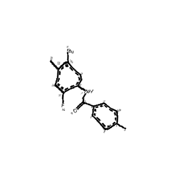 Cc1ccc(C(=O)Nc2cc(C(C)(C)C)c(C)cc2F)cc1